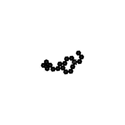 c1ccc(-c2cccc(-c3cccc(-c4ccc(-c5nc(-c6cccc(-c7cccc(-c8ccccc8)c7)c6)nc(-c6cccc(-c7cccc(-c8cccc(-c9cccc(-c%10cccc(-c%11cccc(-c%12ccc%13c(c%12)C%12(c%14ccccc%14-c%14ccccc%14%12)c%12ccccc%12-%13)c%11)c%10)c9)c8)c7)c6)n5)cc4)c3)c2)cc1